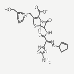 Nc1nc(C(=NOC2C=CCC2)C(=O)NC2C(=O)N3C(C(=O)[O-])=C(C[n+]4cccc(CO)c4)CS[C@@H]23)ns1